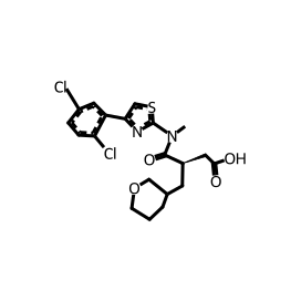 CN(C(=O)[C@@H](CC(=O)O)CC1CCCOC1)c1nc(-c2cc(Cl)ccc2Cl)cs1